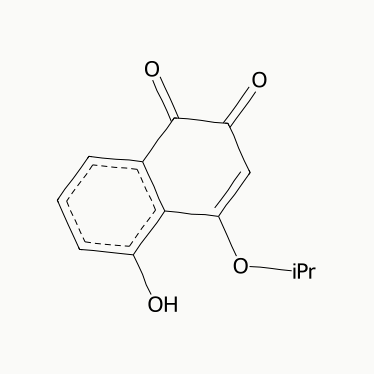 CC(C)OC1=CC(=O)C(=O)c2cccc(O)c21